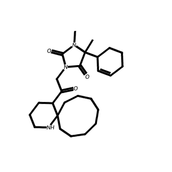 CN1C(=O)N(CC(=O)C2CCCNC23CCCCCCCC3)C(=O)C1(C)C1C=CCCC1